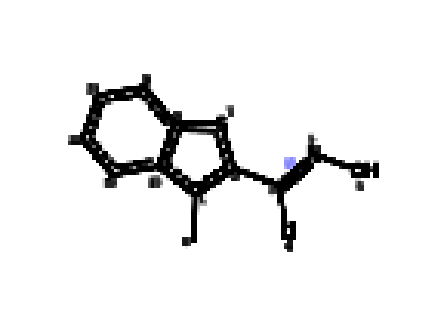 Cc1c(/C(Cl)=N/O)sc2ccccc12